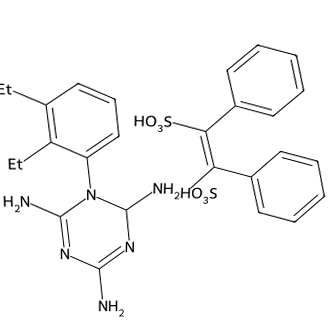 CCc1cccc(N2C(N)=NC(N)=NC2N)c1CC.O=S(=O)(O)C(=C(c1ccccc1)S(=O)(=O)O)c1ccccc1